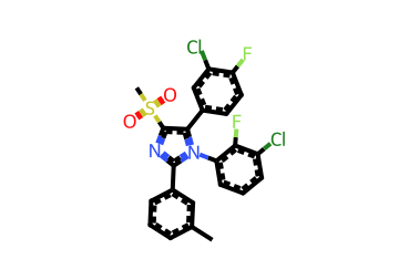 Cc1cccc(-c2nc(S(C)(=O)=O)c(-c3ccc(F)c(Cl)c3)n2-c2cccc(Cl)c2F)c1